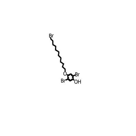 Oc1cc(Br)c(OCCCCCCCCCCCCBr)cc1Br